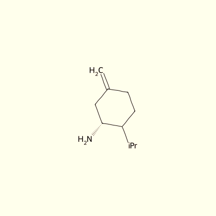 C=C1CCC(C(C)C)[C@H](N)C1